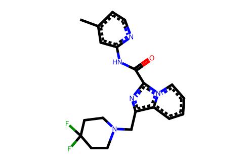 Cc1ccnc(NC(=O)c2nc(CN3CCC(F)(F)CC3)c3ccccn23)c1